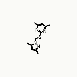 Cc1cc(C)nc(SCn2nc(C)cc2C)n1